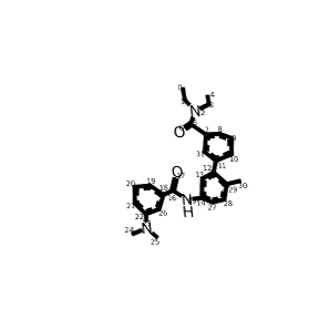 CCN(CC)C(=O)c1cccc(-c2cc(NC(=O)c3cccc(N(C)C)c3)ccc2C)c1